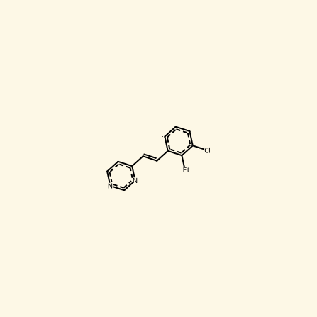 CCc1c(C=Cc2ccncn2)[c]ccc1Cl